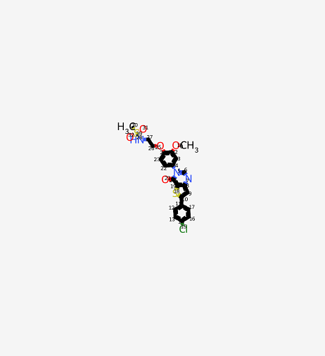 COc1cc(-n2cnc3cc(-c4ccc(Cl)cc4)sc3c2=O)ccc1OCCNS(C)(=O)=O